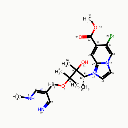 CN/C=C(/BOC(C)(C)C(C)(O)[C@@H](C)[n+]1ccn2cc(Br)c(C(=O)OC)cc21)C=N